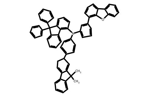 CC1(C)C2=CC(c3ccc(N(c4cccc(-c5cccc6c5oc5ccccc56)c4)c4cccc5c4-c4ccccc4C5(c4ccccc4)c4ccccc4)cc3)CC=C2c2ccccc21